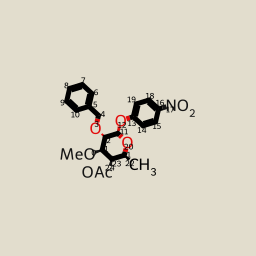 CO[C@H]1[C@H](OCc2ccccc2)[C@@H](Oc2ccc([N+](=O)[O-])cc2)O[C@@H](C)[C@H]1OC(C)=O